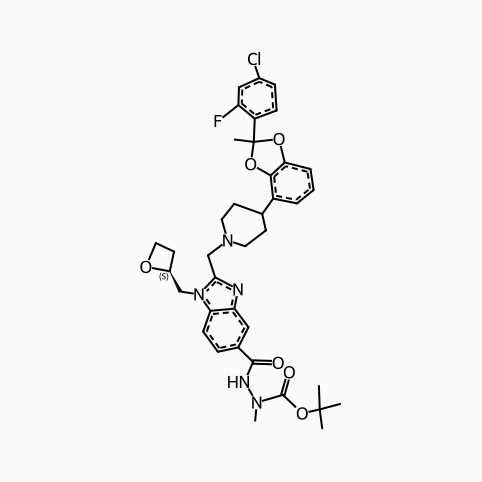 CN(NC(=O)c1ccc2c(c1)nc(CN1CCC(c3cccc4c3OC(C)(c3ccc(Cl)cc3F)O4)CC1)n2C[C@@H]1CCO1)C(=O)OC(C)(C)C